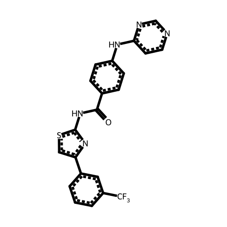 O=C(Nc1nc(-c2cccc(C(F)(F)F)c2)cs1)c1ccc(Nc2ccncn2)cc1